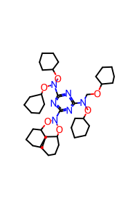 C1CCC(OCN(OC2CCCCC2)c2nc(N(OC3CCCCC3)OC3CCCCC3)nc(N(OC3CCCCC3)OC3CCCCC3)n2)CC1